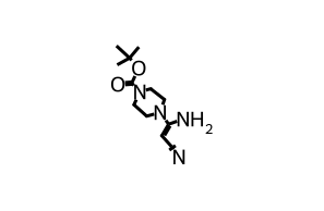 CC(C)(C)OC(=O)N1CCN(C(N)=CC#N)CC1